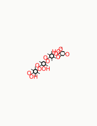 COC1=CC(=O)C=C(C)[C@]1(O)C(=O)Oc1c(C)c(C)c(C(=O)Oc2cc(C)c(C(=O)Oc3c(C)c(C)c(C(=O)O)c(C)c3C)c(O)c2C)c(C)c1C